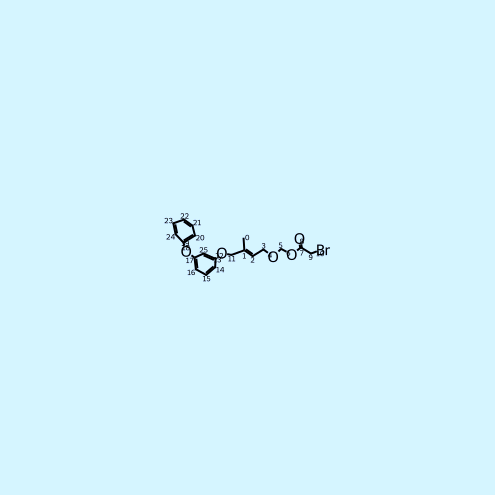 C/C(=C\COCOC(=O)CBr)COc1cccc(Oc2ccccc2)c1